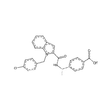 C[C@H](NC(=O)c1cc2ccccc2n1Cc1ccc(Cl)cc1)c1ccc(C(=O)O)cc1